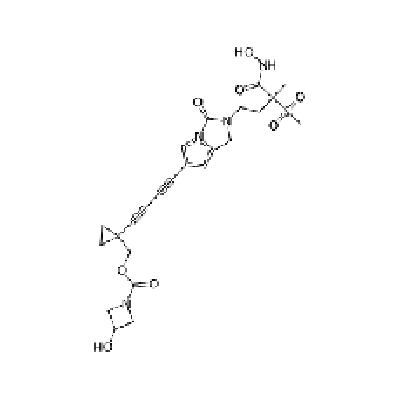 CC(CCN1Cc2cc(C#CC#CC3(COC(=O)N4CC(O)C4)CC3)cn2C1=O)(C(=O)NO)S(C)(=O)=O